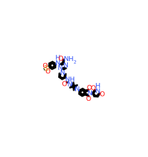 CS(=O)(=O)c1ccc(Nc2nc(N3CCC[C@@H](NC(=O)N4CC5(C4)CN(c4ccc6c(c4)C(=O)N(C4CCC(=O)NC4=O)C6=O)C5)C3)cnc2C(N)=O)cc1